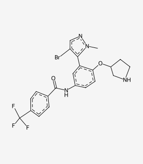 Cn1ncc(Br)c1-c1cc(NC(=O)c2ccc(C(F)(F)F)cc2)ccc1OC1CCNC1